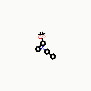 CC1(C)OC(c2ccc3c(c2)c2ccccc2n3-c2ccc(-c3ccccc3)cc2)OC1(C)C